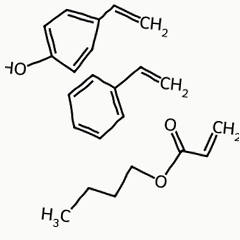 C=CC(=O)OCCCC.C=Cc1ccc(O)cc1.C=Cc1ccccc1